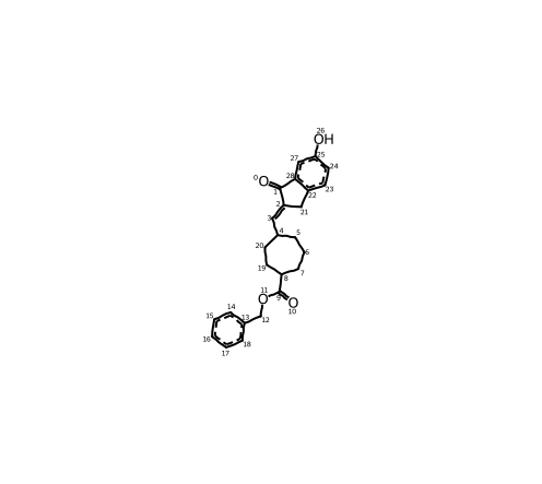 O=C1/C(=C/C2CCCC(C(=O)OCc3ccccc3)CC2)Cc2ccc(O)cc21